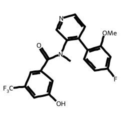 COc1cc(F)ccc1-c1ccncc1N(C)C(=O)c1cc(O)cc(C(F)(F)F)c1